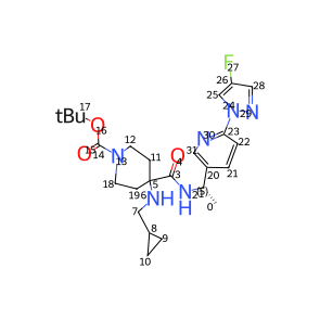 C[C@H](NC(=O)C1(NCC2CC2)CCN(C(=O)OC(C)(C)C)CC1)c1ccc(-n2cc(F)cn2)nc1